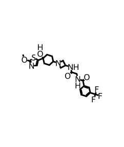 COc1ncc(C2(O)CCC(N3CC(NC(=O)CNC(=O)c4cccc(C(F)(F)F)c4)C3)CC2)s1